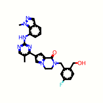 Cc1cnc(Nc2cccc3cnn(C)c23)nc1-c1cc2n(c1)CCN(Cc1cc(F)ccc1CO)C2=O